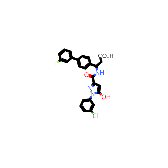 O=C(O)CC(NC(=O)c1cc(O)n(-c2cccc(Cl)c2)n1)c1ccc(-c2cccc(F)c2)cc1